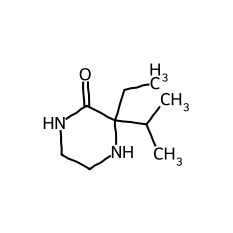 CCC1(C(C)C)NCCNC1=O